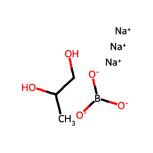 CC(O)CO.[Na+].[Na+].[Na+].[O-]B([O-])[O-]